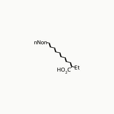 CCCCCCCCCC=CC=CC=CC=CC=C(CC)C(=O)O